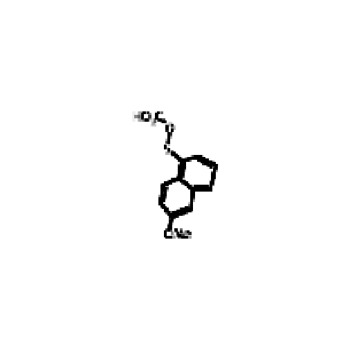 COc1ccc2c(SOC(=O)O)cccc2c1